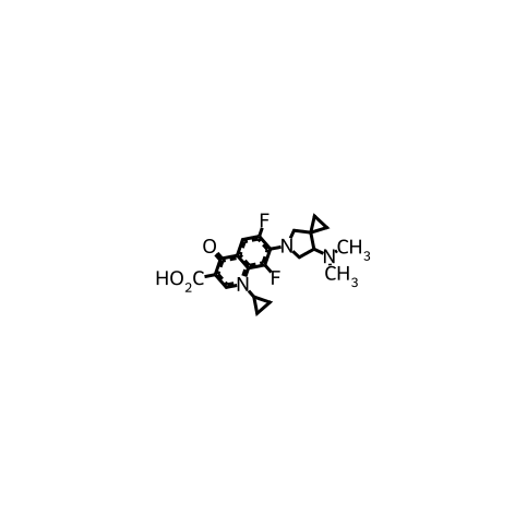 CN(C)C1CN(c2c(F)cc3c(=O)c(C(=O)O)cn(C4CC4)c3c2F)CC12CC2